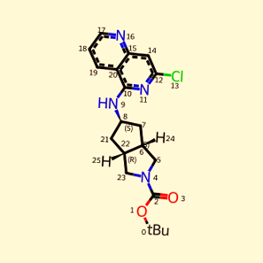 CC(C)(C)OC(=O)N1C[C@H]2C[C@H](Nc3nc(Cl)cc4ncccc34)C[C@H]2C1